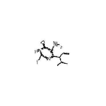 C=CC(c1nc(F)[nH]c(=O)c1N)C(C)C